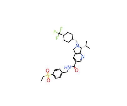 CCS(=O)(=O)c1ccc(CNC(=O)c2cnc3c(c2)CN(C[C@H]2CC[C@H](C(F)(F)F)CC2)[C@@H]3C(C)C)cc1